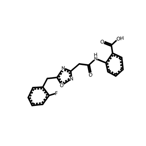 O=C(Cc1noc(Cc2ccccc2F)n1)Nc1ccccc1C(=O)O